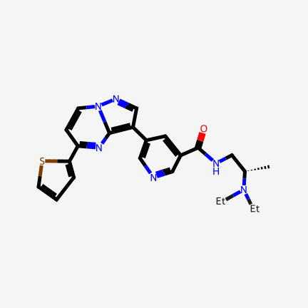 CCN(CC)[C@@H](C)CNC(=O)c1cncc(-c2cnn3ccc(-c4cccs4)nc23)c1